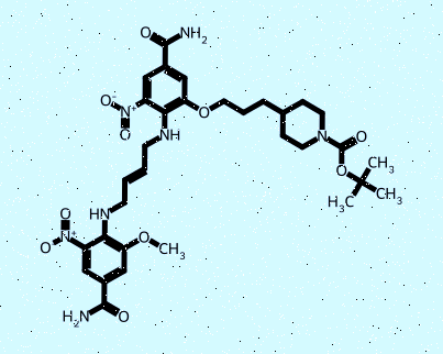 COc1cc(C(N)=O)cc([N+](=O)[O-])c1NCC=CCNc1c(OCCCC2CCN(C(=O)OC(C)(C)C)CC2)cc(C(N)=O)cc1[N+](=O)[O-]